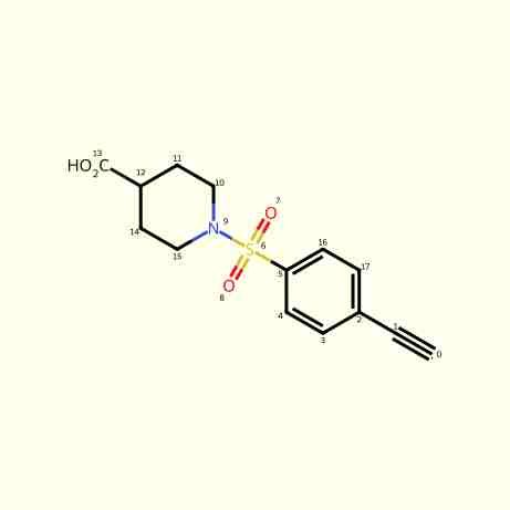 [C]#Cc1ccc(S(=O)(=O)N2CCC(C(=O)O)CC2)cc1